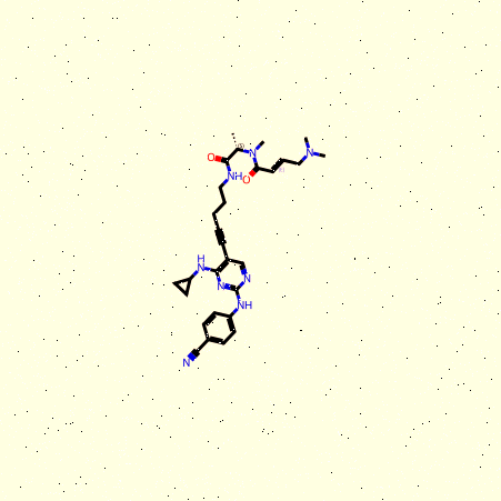 C[C@@H](C(=O)NCCCC#Cc1cnc(Nc2ccc(C#N)cc2)nc1NC1CC1)N(C)C(=O)/C=C/CN(C)C